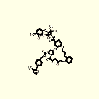 Cc1ncsc1-c1ccc(CNC(=O)[C@@H]2C[C@@H](O)CN2C(=O)[C@@H](CC(=O)COc2ccccc2CCCOc2ccc(C(=O)N[C@H]3C(C)(C)[C@H](Oc4ccc(C#N)c(Cl)c4)C3(C)C)cc2)C(C)(C)C)cc1